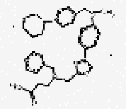 CN(Cc1ccc(C2CCCCC2)cc1)c1ccc(-c2csc(CN(CCC(=O)O)Cc3ccccc3)n2)cc1